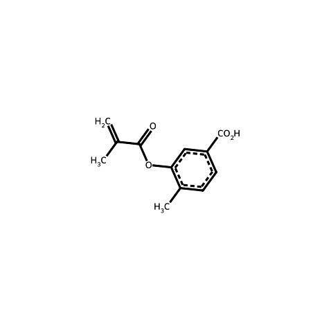 C=C(C)C(=O)Oc1cc(C(=O)O)ccc1C